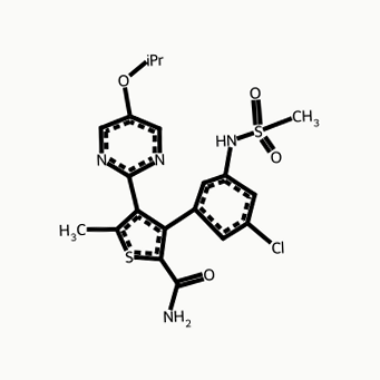 Cc1sc(C(N)=O)c(-c2cc(Cl)cc(NS(C)(=O)=O)c2)c1-c1ncc(OC(C)C)cn1